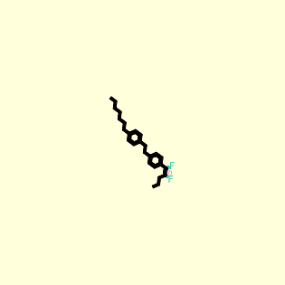 CCCCCCCc1ccc(CCc2ccc(/C(F)=C(/F)CCC)cc2)cc1